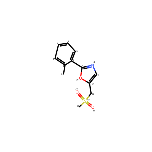 Cc1ccccc1-c1ncc(CS(C)(=O)=O)o1